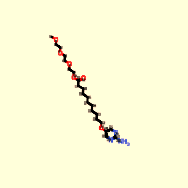 COCCOCCOCCOC(=O)CCCCCCCCCCOc1cnc(N)nc1